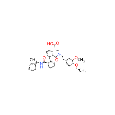 CCOc1ccc(CCN(CCC(=O)O)C(=O)c2ccccc2-c2ccccc2C(=O)NCc2ccccc2C)cc1OC